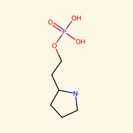 O=P(O)(O)OCCC1CCC[N]1